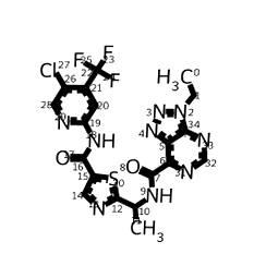 CCn1nnc2c(C(=O)NC(C)c3ncc(C(=O)Nc4cc(C(F)(F)F)c(Cl)cn4)s3)ncnc21